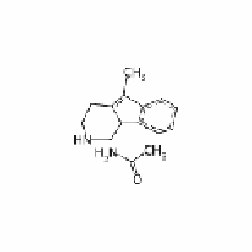 CC(N)=O.CC1=C2CCNCC2c2ccccc21